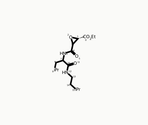 CCOC(=O)[C@H]1OC1C(=O)NC(CC(C)C)C(=O)NCCC(C)C